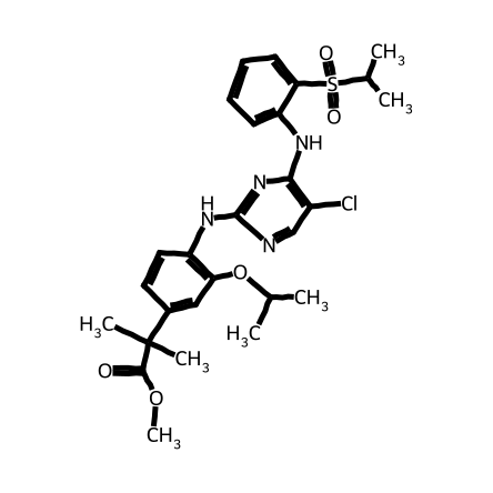 COC(=O)C(C)(C)c1ccc(Nc2ncc(Cl)c(Nc3ccccc3S(=O)(=O)C(C)C)n2)c(OC(C)C)c1